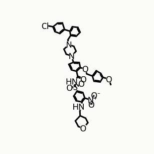 COc1ccc(COc2cc(N3CCN(Cc4ccccc4-c4ccc(Cl)cc4)CC3)ccc2C(=O)NS(=O)(=O)c2ccc(NCC3CCOCC3)c([N+](=O)[O-])c2)cc1